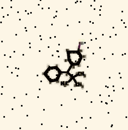 CC(C)(C)C(c1ccccc1)c1ccc(I)cc1